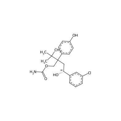 CC(C)(C)C(COC(N)=O)(C[C@@H](O)c1cccc(Cl)c1)c1ccc(O)cc1